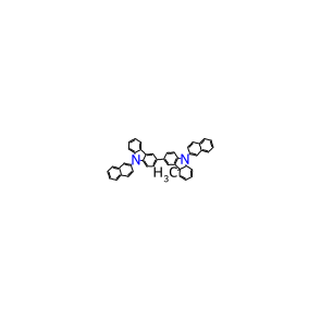 CC12C=CC=CC1N(c1ccc3ccccc3c1)c1ccc(-c3ccc4c(c3)c3ccccc3n4-c3ccc4ccccc4c3)cc12